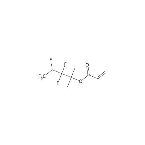 C=CC(=O)OC(C)(C)C(F)(F)C(F)C(F)(F)F